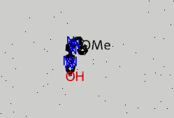 COc1ccccc1C1CCCc2nc3ccc(-c4cnc(N5CCC(O)CC5)nc4)nc3n21